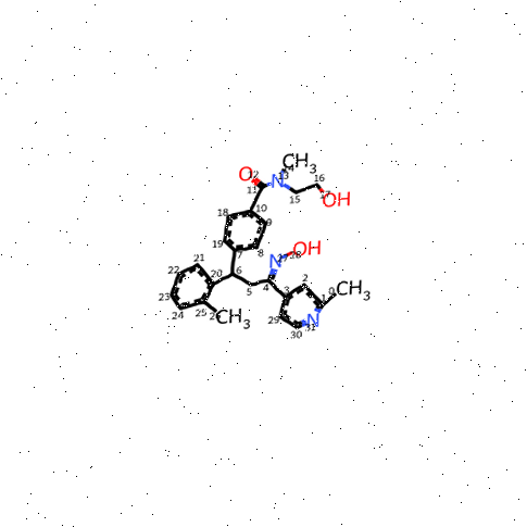 Cc1cc(C(CC(c2ccc(C(=O)N(C)CCO)cc2)c2ccccc2C)=NO)ccn1